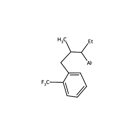 CC[CH]([Al])C(C)Cc1ccccc1C(F)(F)F